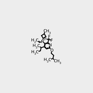 C=CN(c1c(C(C)CC)cc(OCCC(C)C)nc1C(F)(F)F)C1CC(C)C1